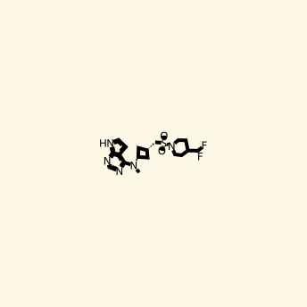 CN(c1ncnc2[nH]ccc12)[C@H]1C[C@@H](CS(=O)(=O)N2CCC(C(F)F)CC2)C1